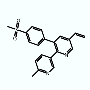 C=Cc1cnc(-c2ccc(C)nc2)c(-c2ccc(S(C)(=O)=O)cc2)c1